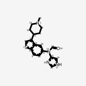 CN1CCC(c2csc3ccc(N(C=O)c4c[nH]cn4)cc23)CC1